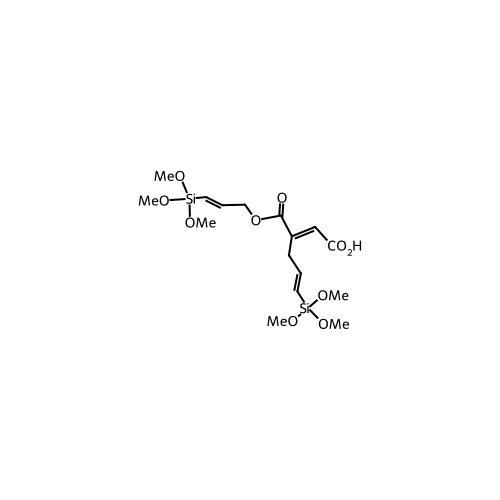 CO[Si](C=CCOC(=O)C(=CC(=O)O)CC=C[Si](OC)(OC)OC)(OC)OC